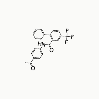 CC(=O)c1ccc(NC(=O)c2cc(C(F)(F)F)ccc2-c2ccccc2)cc1